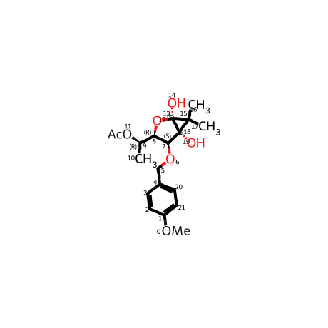 COc1ccc(CO[C@H]2[C@@H]([C@@H](C)OC(C)=O)O[C@@]3(O)C(C)(C)[C@@]23O)cc1